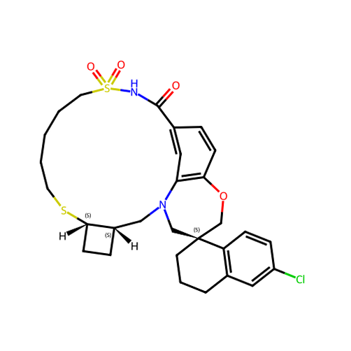 O=C1NS(=O)(=O)CCCCCS[C@H]2CC[C@H]2CN2C[C@@]3(CCCc4cc(Cl)ccc43)COc3ccc1cc32